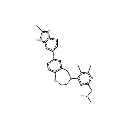 Cc1nc2ccc(-c3ccc4c(c3)CN(c3nc(CN(C)C)nc(C)c3C)CCO4)cc2[nH]1